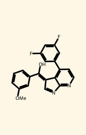 COc1cccc(/C(O)=C2\C=Nc3nccc(-c4cc(F)cc(F)c4)c32)c1